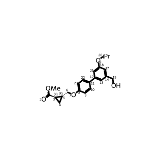 COC(=O)[C@@H]1C[C@H]1COc1ccc(-c2cc(CO)cc(OC(C)C)c2)cc1